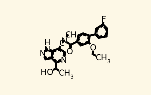 CCOc1cc(C(=O)N(C)Cc2cnc(C(C)O)c3cn[nH]c23)ccc1-c1cccc(F)c1